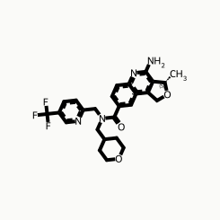 C[C@@H]1OCc2c1c(N)nc1ccc(C(=O)N(Cc3ccc(C(F)(F)F)cn3)CC3CCOCC3)cc21